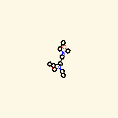 c1ccc(N(c2ccc3ccccc3c2)c2ccc(-c3ccc(N(c4ccccc4)c4cccc5c4oc4ccccc45)cc3)cc2-c2ccc3ccccc3c2)cc1